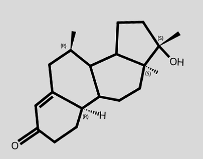 C[C@@H]1CC2=CC(=O)CC[C@@H]2C2CC[C@@]3(C)C(CC[C@]3(C)O)C21